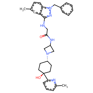 Cc1ccc2c(c1)c(NCC(=O)NC1CN([C@H]3CC[C@@](O)(c4cccc(C)n4)CC3)C1)nn2Cc1ccccc1